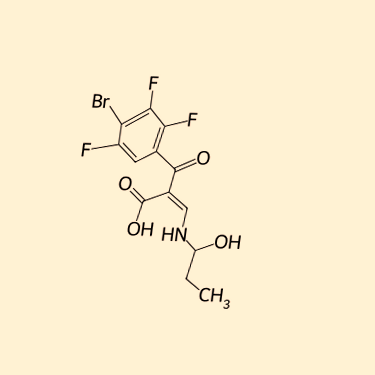 CCC(O)NC=C(C(=O)O)C(=O)c1cc(F)c(Br)c(F)c1F